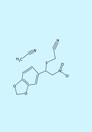 CC#N.N#CCSC(C[N+](=O)[O-])c1ccc2c(c1)OCO2